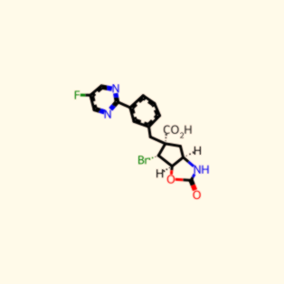 O=C1N[C@@H]2C[C@@](Cc3cccc(-c4ncc(F)cn4)c3)(C(=O)O)[C@@H](Br)[C@@H]2O1